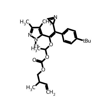 C=CC(C)COC(=O)OC(C)O/C(=C(\c1ccc(C(C)(C)C)cc1)C1C=N1)c1c(C)c(C)nn1CC